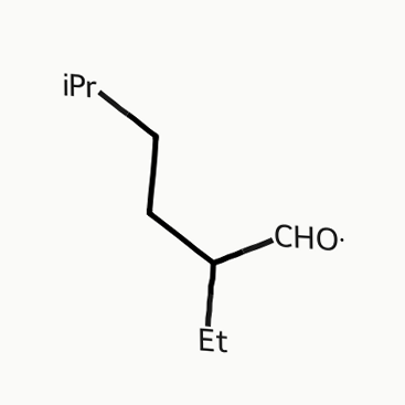 CCC([C]=O)CCC(C)C